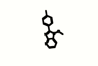 COn1c(-c2ccc(C)cc2)nc2ncccc21